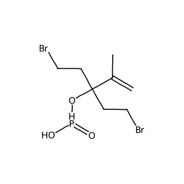 C=C(C)C(CCBr)(CCBr)O[PH](=O)O